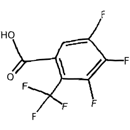 O=C(O)c1cc(F)c(F)c(F)c1C(F)(F)F